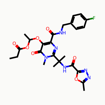 CCC(=O)OC(C)Oc1c(C(=O)NCc2ccc(F)cc2)nc(C(C)(C)NC(=O)c2nnc(C)o2)n(C)c1=O